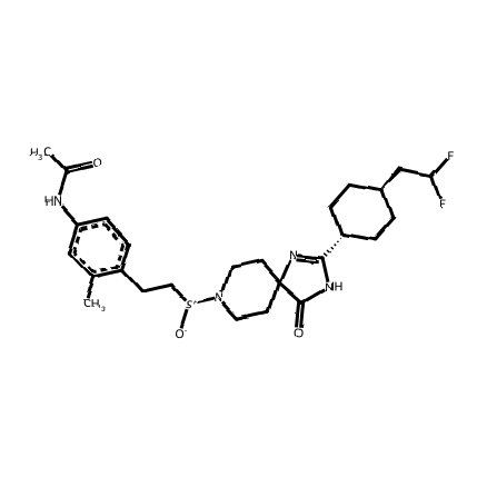 CC(=O)Nc1ccc(CC[S+]([O-])N2CCC3(CC2)N=C([C@H]2CC[C@H](CC(F)F)CC2)NC3=O)c(C)c1